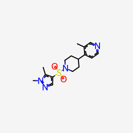 Cc1cnccc1C1CCN(S(=O)(=O)c2cnn(C)c2C)CC1